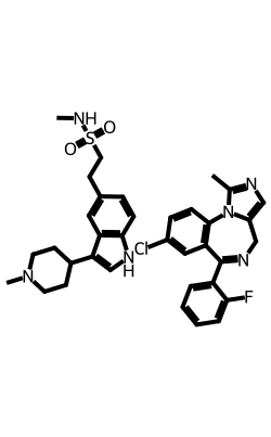 CNS(=O)(=O)CCc1ccc2[nH]cc(C3CCN(C)CC3)c2c1.Cc1ncc2n1-c1ccc(Cl)cc1C(c1ccccc1F)=NC2